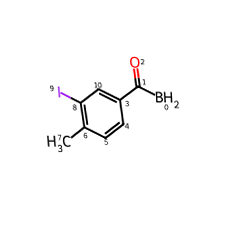 BC(=O)c1ccc(C)c(I)c1